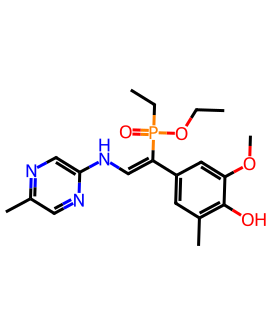 CCOP(=O)(CC)C(=CNc1cnc(C)cn1)c1cc(C)c(O)c(OC)c1